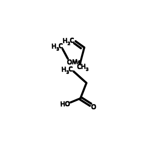 C=CC.CCC(=O)O.COC